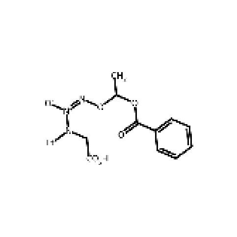 CCN(CC(=O)O)/[N+]([O-])=N\OC(C)OC(=O)c1ccccc1